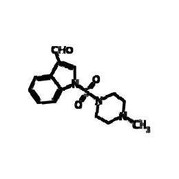 CN1CCN(S(=O)(=O)n2cc(C=O)c3ccccc32)CC1